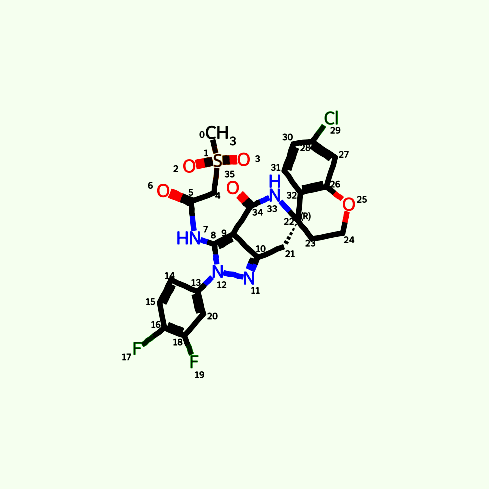 CS(=O)(=O)CC(=O)Nc1c2c(nn1-c1ccc(F)c(F)c1)C[C@]1(CCOc3cc(Cl)ccc31)NC2=O